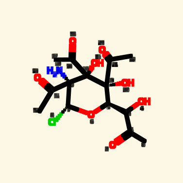 CC(=O)C(O)[C@H]1O[C@H](Cl)[C@@](N)(C(C)=O)[C@](O)(C(C)=O)[C@@]1(O)C(C)=O